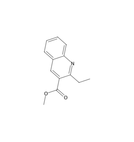 CCc1nc2ccccc2cc1C(=O)OC